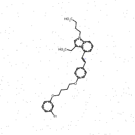 CCc1cccc(OCCCCOc2ccc(/C=C/c3cccc4c3c(CC(=O)O)cn4CCCC(=O)O)cc2)c1